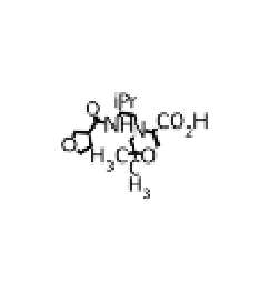 CC(C)[C@H](CN1CC(C)(C)OCC1C(=O)O)NC(=O)C1CCOC1